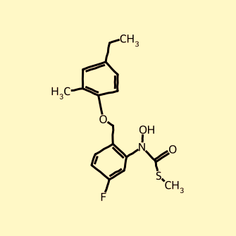 CCc1ccc(OCc2ccc(F)cc2N(O)C(=O)SC)c(C)c1